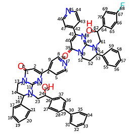 O=c1cc(-c2ccncc2)nc2n1CCC(c1ccccc1)N2CC(O)c1ccc(-c2ccccc2)cc1.O=c1cc(-c2ccncc2)nc2n1CCC(c1ccccc1)N2CC(O)c1ccc(F)cc1